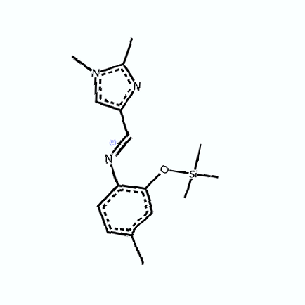 Cc1ccc(/N=C/c2cn(C)c(C)n2)c(O[Si](C)(C)C)c1